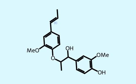 C/C=C/c1ccc(OC(C)C(O)c2ccc(O)c(OC)c2)c(OC)c1